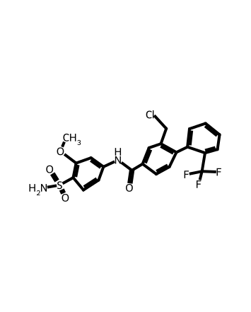 COc1cc(NC(=O)c2ccc(-c3ccccc3C(F)(F)F)c(CCl)c2)ccc1S(N)(=O)=O